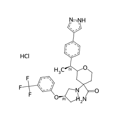 C[C@@H](c1ccc(-c2cn[nH]c2)cc1)C1CC(C(N)=O)(N2CC[C@@H](Oc3cccc(C(F)(F)F)c3)C2)CCO1.Cl